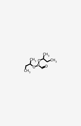 CCC(C)ON([C]=O)OC(C)CC